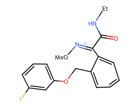 CCNC(=O)/C(=N/OC)c1ccccc1COc1cccc(F)c1